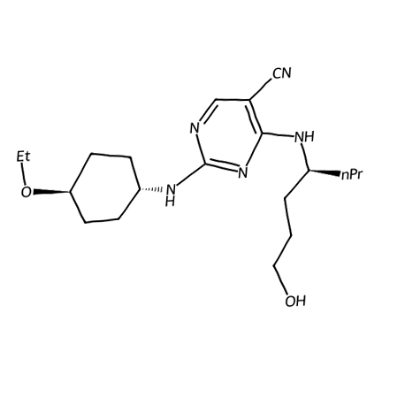 CCC[C@@H](CCCO)Nc1nc(N[C@H]2CC[C@H](OCC)CC2)ncc1C#N